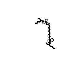 CCCCC(CC)COC(=O)CCCCCCCCC(C)CC(=O)OCC(CC)CCCC